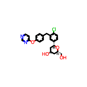 OC[C@@H]1C[C@H](O)C[C@H](c2ccc(Cl)c(Cc3ccc(Oc4ccncn4)cc3)c2)O1